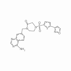 Nc1ncnc2cc(CN3CCN(S(=O)(=O)c4ccc(-c5ccon5)s4)CC3=O)ccc12